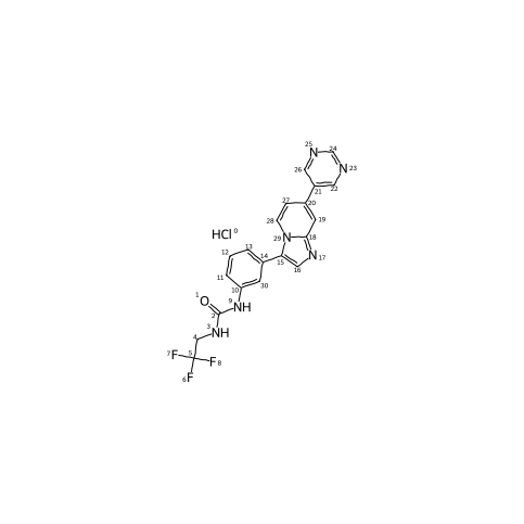 Cl.O=C(NCC(F)(F)F)Nc1cccc(-c2cnc3cc(-c4cncnc4)ccn23)c1